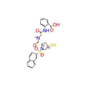 CN(CC(=O)Nc1ccccc1C(=O)O)C(=O)[C@@H]1C[C@@H](S)CN1S(=O)(=O)c1ccc2ccccc2c1